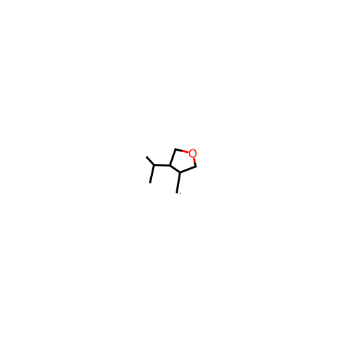 [CH2]C1COCC1C(C)C